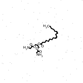 CCCCC/C=C\C/C=C\CCCCCCCC(=O)OC(COC(=O)CN)COC(=O)CN